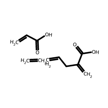 C=C.C=CC(=O)O.C=CCC(=C)C(=O)O